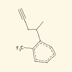 C#CCC(C)c1ccccc1C(F)(F)F